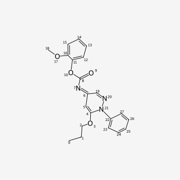 CCCOc1cc(=NC(=O)Oc2ccccc2OC)cnn1-c1ccccc1